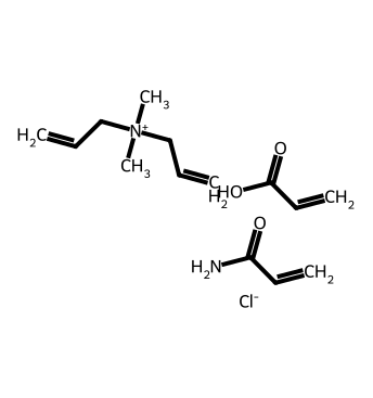 C=CC(=O)O.C=CC(N)=O.C=CC[N+](C)(C)CC=C.[Cl-]